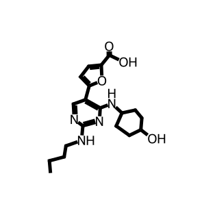 CCCCNc1ncc(-c2ccc(C(=O)O)o2)c(NC2CCC(O)CC2)n1